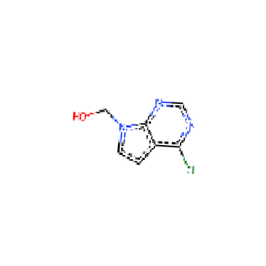 OCn1ccc2c(Cl)ncnc21